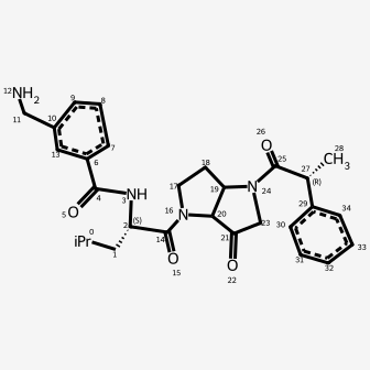 CC(C)C[C@H](NC(=O)c1cccc(CN)c1)C(=O)N1CCC2C1C(=O)CN2C(=O)[C@H](C)c1ccccc1